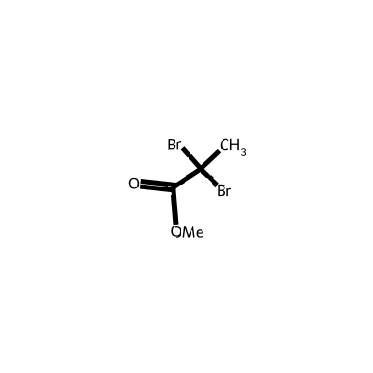 COC(=O)C(C)(Br)Br